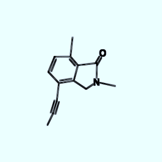 CC#Cc1ccc(C)c2c1CN(C)C2=O